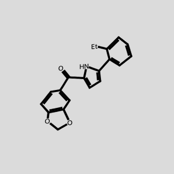 CCc1ccccc1-c1ccc(C(=O)c2ccc3c(c2)OCO3)[nH]1